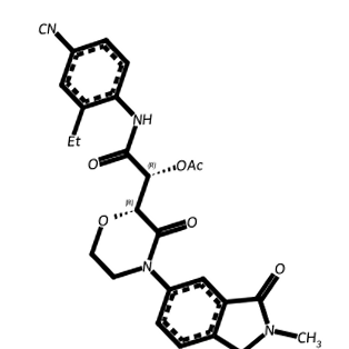 [C-]#[N+]c1ccc(NC(=O)[C@H](OC(C)=O)[C@H]2OCCN(c3ccc4c(c3)C(=O)N(C)C4)C2=O)c(CC)c1